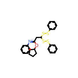 c1ccc(/N=C(/CC(SSc2ccccc2)SSc2ccccc2)OC2CCCC2)cc1